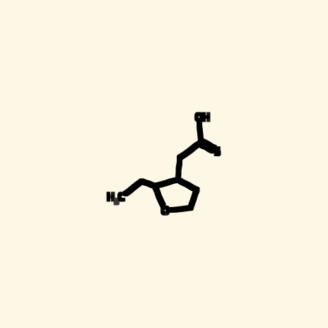 CCC1OCCC1CC(O)=S